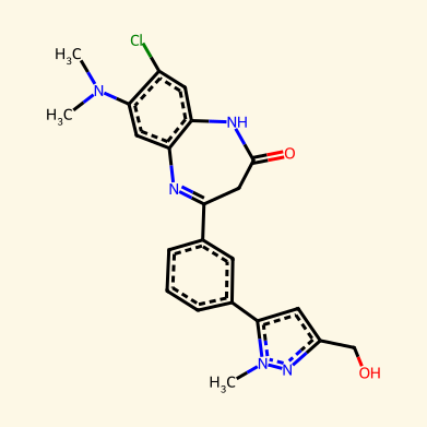 CN(C)c1cc2c(cc1Cl)NC(=O)CC(c1cccc(-c3cc(CO)nn3C)c1)=N2